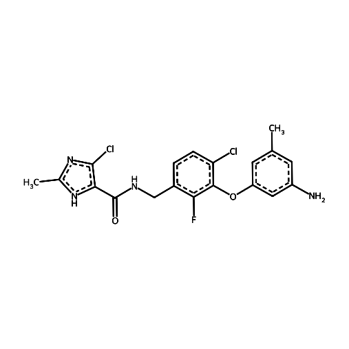 Cc1cc(N)cc(Oc2c(Cl)ccc(CNC(=O)c3[nH]c(C)nc3Cl)c2F)c1